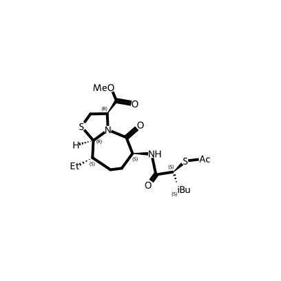 CC[C@H]1CC[C@H](NC(=O)[C@@H](SC(C)=O)[C@@H](C)CC)C(=O)N2[C@@H]1SC[C@H]2C(=O)OC